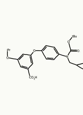 CC(C)Oc1cc(Oc2ccc(N(CC3CC3)C(=O)OC(C)(C)C)cc2)cc(C(=O)O)c1